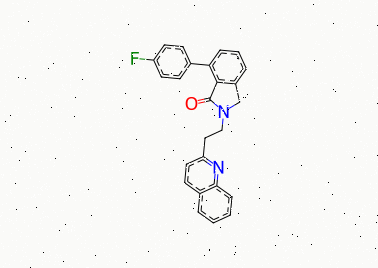 O=C1c2c(cccc2-c2ccc(F)cc2)CN1CCc1ccc2ccccc2n1